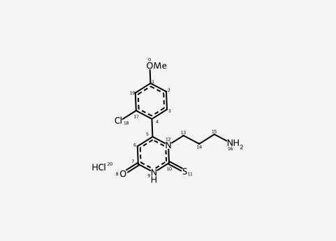 COc1ccc(-c2cc(=O)[nH]c(=S)n2CCCN)c(Cl)c1.Cl